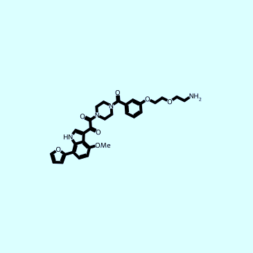 COc1ccc(-c2ccco2)c2[nH]cc(C(=O)C(=O)N3CCN(C(=O)c4cccc(OCCOCCN)c4)CC3)c12